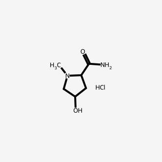 CN1CC(O)CC1C(N)=O.Cl